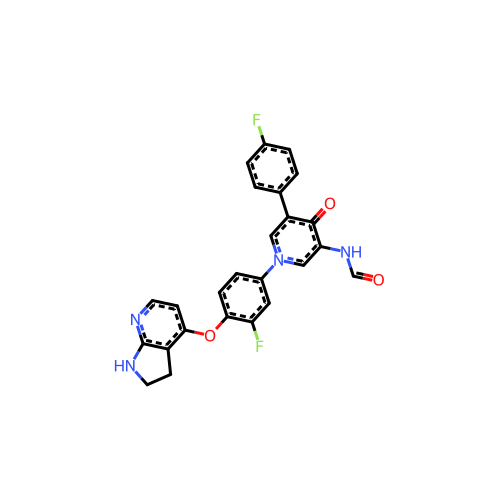 O=CNc1cn(-c2ccc(Oc3ccnc4c3CCN4)c(F)c2)cc(-c2ccc(F)cc2)c1=O